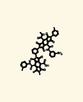 CNC(=O)c1c2c(=O)n(-c3cccc(C)c3)c(=O)c2c(C(=O)Nc2cccc(N)c2)c2c(=O)n(-c3cccc(-n4c(=O)c5c(C(=O)O)c6c(=O)n(C)c(=O)c6c(C(=O)Nc6cccc(C)c6)c5c4=O)c3)c(=O)c12